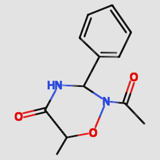 CC(=O)N1OC(C)C(=O)NC1c1ccccc1